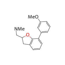 CNCC1Cc2cccc(-c3cccc(OC)c3)c2O1